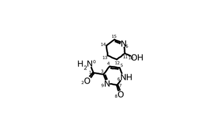 NC(=O)c1cc[nH]c(=O)n1.OC1CCCC=N1